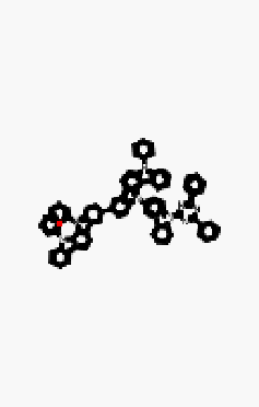 c1ccc(-c2nc(-c3ccccc3)nc(-n3c4ccccc4c4cc(-n5c6ccc(-c7ccc8c(c7)c7ccc9c%10ccccc%10n(-c%10ccccc%10)c9c7n8-c7ccccc7)cc6c6ccc7c(c8ccccc8n7-c7ccccc7)c65)ccc43)n2)cc1